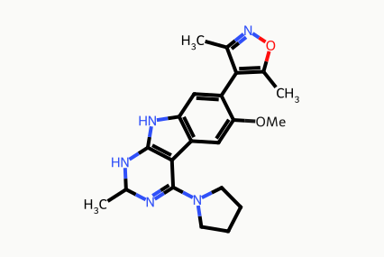 COc1cc2c3c([nH]c2cc1-c1c(C)noc1C)NC(C)N=C3N1CCCC1